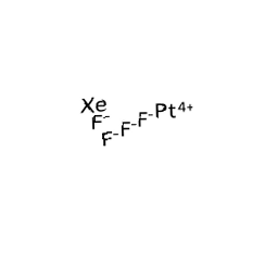 [F-].[F-].[F-].[F-].[Pt+4].[Xe]